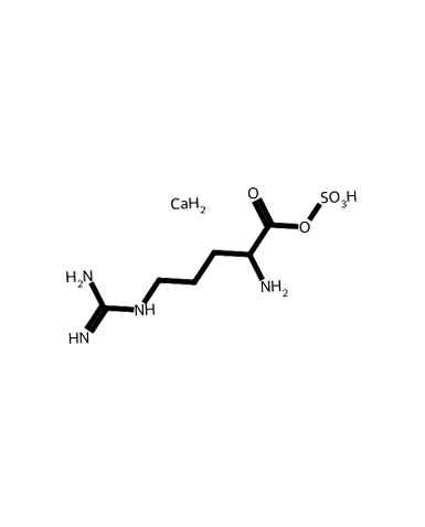 N=C(N)NCCCC(N)C(=O)OS(=O)(=O)O.[CaH2]